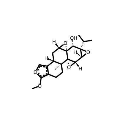 COc1occ2c1CC[C@@]1(C)[C@H]2C[C@@H]2O[C@@]23[C@H](O)[C@@]2(C(C)C)O[C@H]2[C@@H]2O[C@@]231